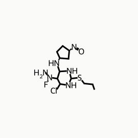 CCCSC1NC(Cl)C(N(N)F)C(N[C@H]2CC[C@@H](N=O)C2)N1